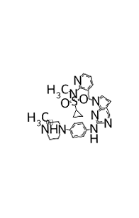 C[C@H]1CN(c2ccc(Nc3ncc4ccn(Cc5cccnc5N(C)S(=O)(=O)C5CC5)c4n3)cc2)CCN1